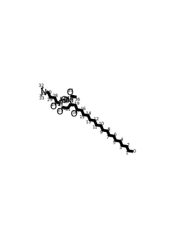 CCCCCCCCCCCCCCCCCC(=O)CC(CC(=O)P(O)C(=O)CCCN(C)C)NC(C)=O